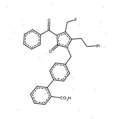 CC(C)CCc1c(CF)n(C(=O)c2ccccc2)c(=O)n1Cc1ccc(-c2ccccc2C(=O)O)cc1